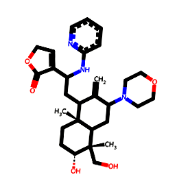 C=C1C(N2CCOCC2)CC2[C@](C)(CC[C@@H](O)[C@@]2(C)CO)C1CC(Nc1ccccn1)C1=CCOC1=O